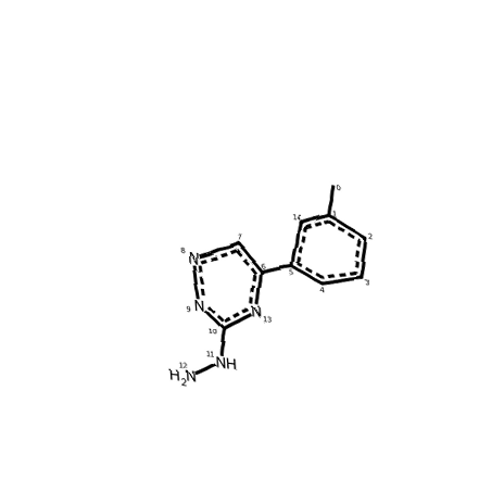 Cc1cccc(-c2cnnc(NN)n2)c1